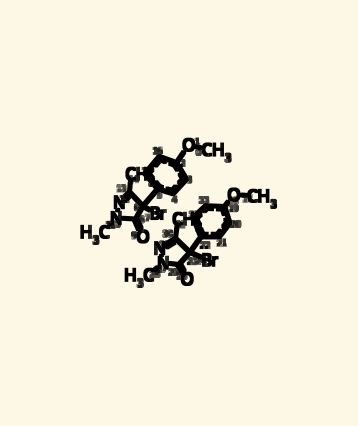 COc1ccc(C2(Br)C(=O)N(C)N=C2C)cc1.COc1ccc(C2(Br)C(=O)N(C)N=C2C)cc1